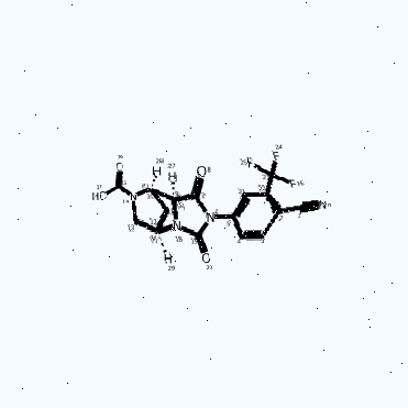 N#Cc1ccc(N2C(=O)[C@@H]3[C@H]4C[C@H](CN4C(=O)O)N3C2=O)cc1C(F)(F)F